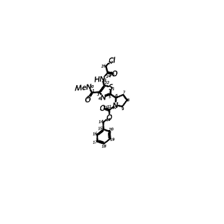 CNC(=O)c1nc(C2CCCN2C(=O)OCc2ccccc2)sc1NC(=O)CCl